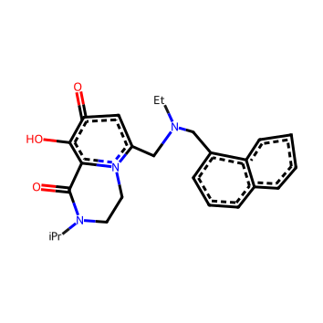 CCN(Cc1cccc2ccccc12)Cc1cc(=O)c(O)c2n1CCN(C(C)C)C2=O